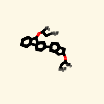 O=S(=O)(O)CC(OC1=Cc2ccc(-c3ccc4c(c3)C(OC(CS(=O)(=O)O)C(F)(F)F)c3ccccc3-4)cc2C1)C(F)(F)F